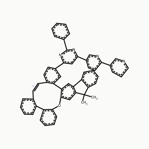 CC1(C)c2ccccc2-c2cc3c(cc21)Oc1ccccc1-c1ccccc1/C=C\c1ccc(-c2cc(-c4ccc(-c5cccnc5)nc4)nc(-c4ccccc4)n2)cc1-3